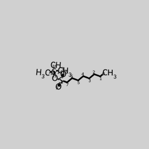 CCCCCCCCS(=O)(=O)OS(C)(C)C